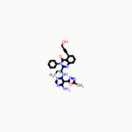 CC[C@H](Nc1ncnc(N)c1-c1nnc(C)o1)c1nc2cccc(C#CCO)c2c(=O)n1-c1ccccc1